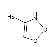 SC1=COON1